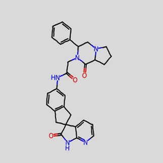 O=C(CN1C(=O)C2CCCN2CC1c1ccccc1)Nc1ccc2c(c1)CC1(C2)C(=O)Nc2ncccc21